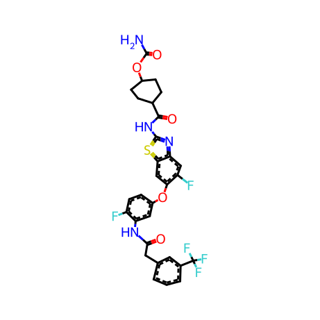 NC(=O)OC1CCC(C(=O)Nc2nc3cc(F)c(Oc4ccc(F)c(NC(=O)Cc5cccc(C(F)(F)F)c5)c4)cc3s2)CC1